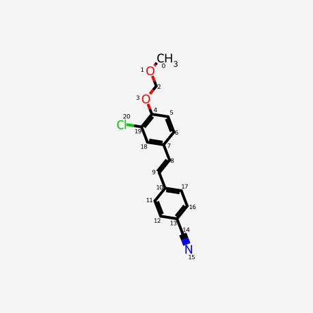 COCOc1ccc(/C=C/c2ccc(C#N)cc2)cc1Cl